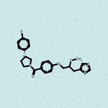 COC(COc1ccc(C(=O)N2CC[C@H](c3ccc(F)cc3)C2)cc1)Cc1cscn1